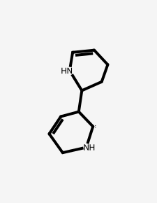 [C]1NCC=CC1C1CCC=CN1